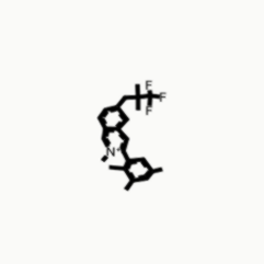 Cc1cc(C)c(C)c(-c2cc3cc(CC(C)(C)C(F)(F)F)ccc3c[n+]2C)c1